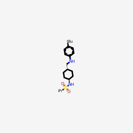 CC(C)S(=O)(=O)N[C@H]1CC[C@H](CNc2ccc(C(C)(C)C)cc2)CC1